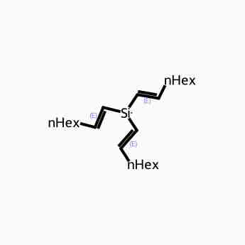 CCCCCC/C=C/[Si](/C=C/CCCCCC)/C=C/CCCCCC